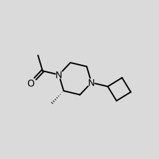 CC(=O)N1CCN(C2CCC2)C[C@@H]1C